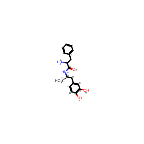 NC(Cc1ccccc1)C(=O)N[C@@H](Cc1ccc(O)c(O)c1)C(=O)O